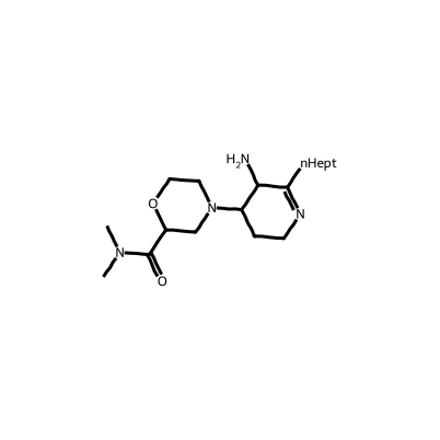 CCCCCCCC1=NCCC(N2CCOC(C(=O)N(C)C)C2)C1N